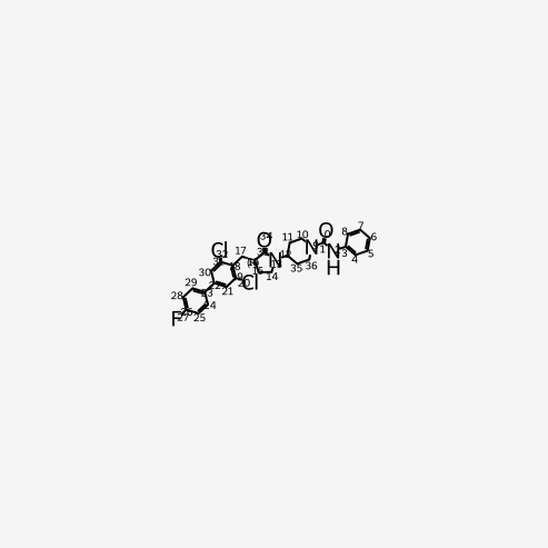 O=C(Nc1ccccc1)N1CCC(N2CC[C@@H](Cc3c(Cl)cc(-c4ccc(F)cc4)cc3Cl)C2=O)CC1